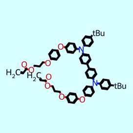 C=CC(=O)OCCCOc1ccc(Oc2ccc(N(c3ccc(-c4ccc(N(c5ccc(Oc6ccc(OCCCOC(=O)C=C)cc6)cc5)c5ccc(C(C)(C)C)cc5)cc4)cc3)c3ccc(C(C)(C)C)cc3)cc2)cc1